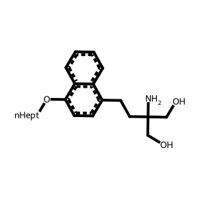 CCCCCCCOc1ccc(CCC(N)(CO)CO)c2ccccc12